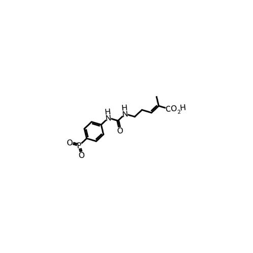 CC(=CCCNC(=O)Nc1ccc(P(=O)=O)cc1)C(=O)O